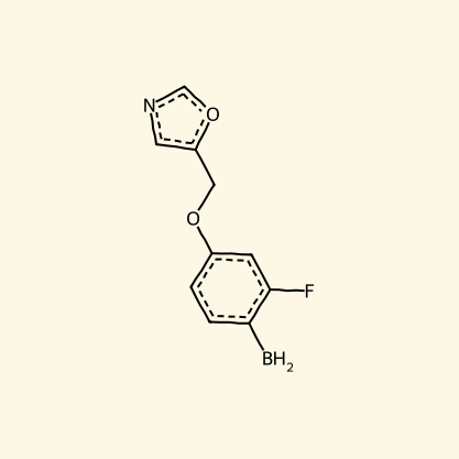 Bc1ccc(OCc2cnco2)cc1F